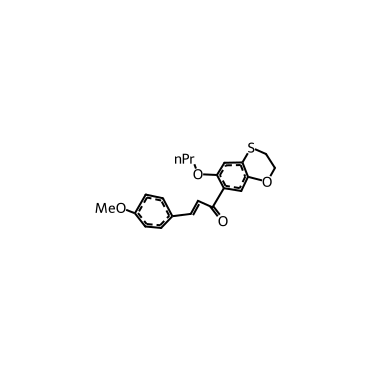 CCCOc1cc2c(cc1C(=O)/C=C/c1ccc(OC)cc1)OCCS2